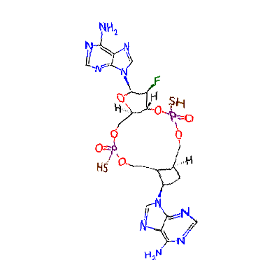 Nc1ncnc2c1ncn2[C@@H]1C[C@@H]2COP(=O)(S)O[C@H]3[C@H](F)[C@H](n4cnc5c(N)ncnc54)O[C@@H]3COP(=O)(S)OCC21